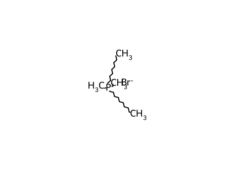 CCCCCCCCCC[P+](CC)(CC)CCCCCCCCCC.[Br-]